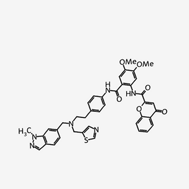 COc1cc(NC(=O)c2cc(=O)c3ccccc3o2)c(C(=O)Nc2ccc(CCN(Cc3ccc4cnn(C)c4c3)Cc3cncs3)cc2)cc1OC